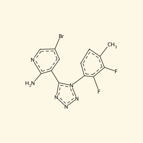 Cc1ccc(-n2nnnc2-c2cc(Br)cnc2N)c(F)c1F